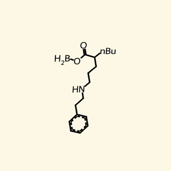 BOC(=O)C(CCCC)CCCNCCc1ccccc1